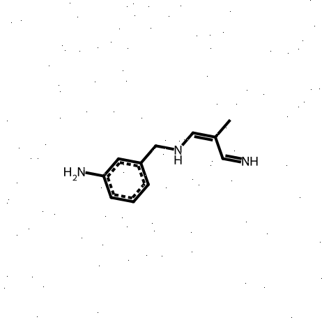 C/C(C=N)=C/NCc1cccc(N)c1